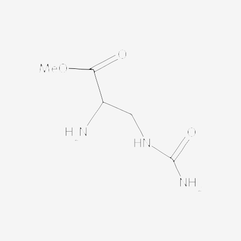 COC(=O)C(N)CNC(N)=O